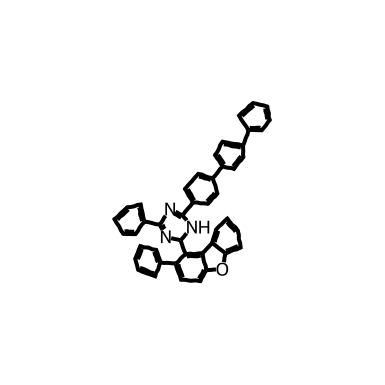 c1ccc(C2=NC(c3c(-c4ccccc4)ccc4oc5ccccc5c34)NC(c3ccc(-c4ccc(-c5ccccc5)cc4)cc3)=N2)cc1